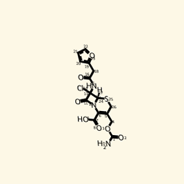 NC(=O)OCC1=C(C(=O)O)N2C(=O)C(Cl)(NC(=O)Cc3ccco3)[C@@H]2SC1